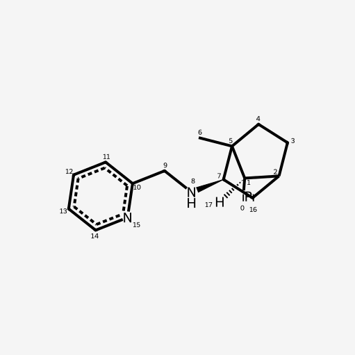 CC(C)[C@@H]1C2CCC1(C)[C@H](NCc1ccccn1)C2